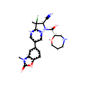 Cn1c(=O)oc2ccc(-c3cnc(C(C)(F)C(C#N)NC(=O)[C@@H]4CNCCCO4)nc3)cc21